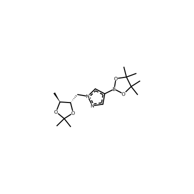 C[C@@H]1OC(C)(C)O[C@H]1Cn1cc(B2OC(C)(C)C(C)(C)O2)cn1